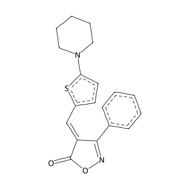 O=C1ON=C(c2ccccc2)/C1=C\c1ccc(N2CCCCC2)s1